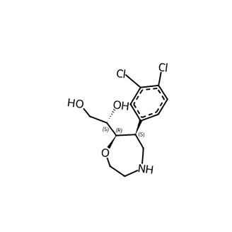 OC[C@H](O)[C@@H]1OCCNC[C@@H]1c1ccc(Cl)c(Cl)c1